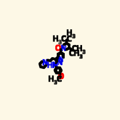 COc1ccc(Nc2nn3ccc(C(=O)N4CC(C(C)C)CC(C(C)C)C4)cc3c2CCCN2CCCCC2)cc1